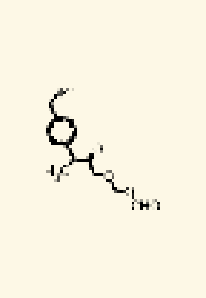 CC(C)Cc1ccc(C(C)C(=O)COCOC=O)cc1